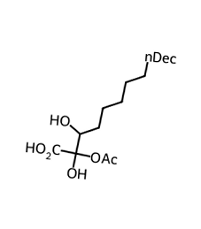 CCCCCCCCCCCCCCCC(O)C(O)(OC(C)=O)C(=O)O